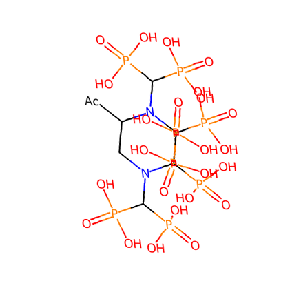 CC(=O)C(CN(C(P(=O)(O)O)P(=O)(O)O)C(P(=O)(O)O)P(=O)(O)O)N(C(P(=O)(O)O)P(=O)(O)O)C(P(=O)(O)O)P(=O)(O)O